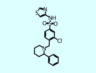 O=S(=O)(Nc1cscn1)c1ccc(CN2CCCCC2c2ccccc2)c(Cl)c1